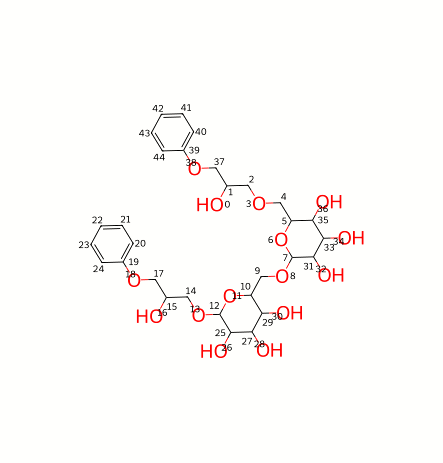 OC(COCC1OC(OCC2OC(OCC(O)COc3ccccc3)C(O)C(O)C2O)C(O)C(O)C1O)COc1ccccc1